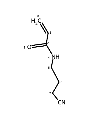 C=CC(=O)NCCCC#N